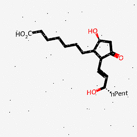 CCCCC[C@H](O)/C=C/C1C(=O)C[C@H](O)C1CCCCCCC(=O)O